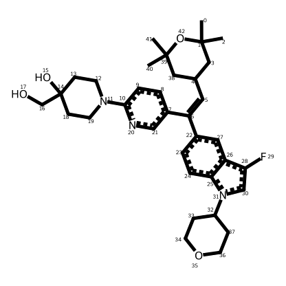 CC1(C)CC(C=C(c2ccc(N3CCC(O)(CO)CC3)nc2)c2ccc3c(c2)c(F)cn3C2CCOCC2)CC(C)(C)O1